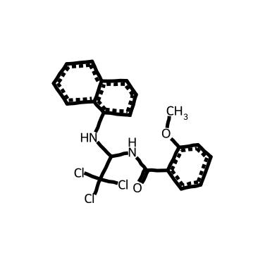 COc1ccccc1C(=O)NC(Nc1cccc2ccccc12)C(Cl)(Cl)Cl